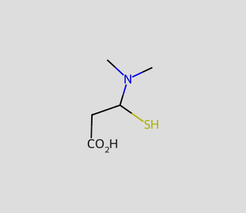 CN(C)C(S)CC(=O)O